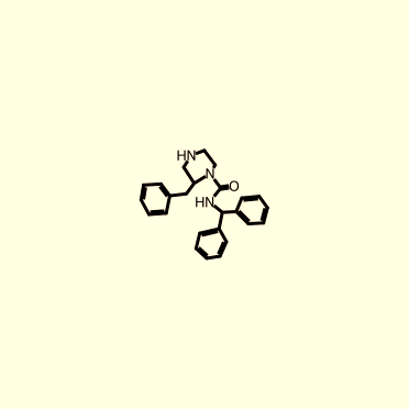 O=C(NC(c1ccccc1)c1ccccc1)N1CCNCC1Cc1ccccc1